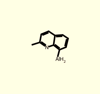 Cc1ccc2ccc[c]([AlH2])c2n1